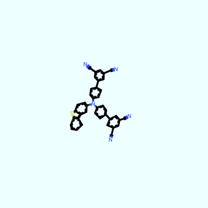 N#Cc1cc(C#N)cc(-c2ccc(N(c3ccc(-c4cc(C#N)cc(C#N)c4)cc3)c3ccc4sc5ccccc5c4c3)cc2)c1